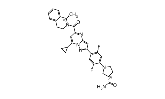 C[C@@H]1c2ccccc2CCN1C(=O)c1cc(C2CC2)n2nc(-c3cc(F)c(N4CC[C@H](C(N)=O)C4)cc3F)cc2n1